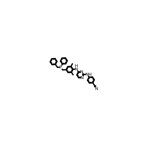 Cc1cc(CP(Cc2ccccc2)c2ccccc2)cc(C)c1Nc1ccnc(Nc2ccc(C#N)cc2)n1